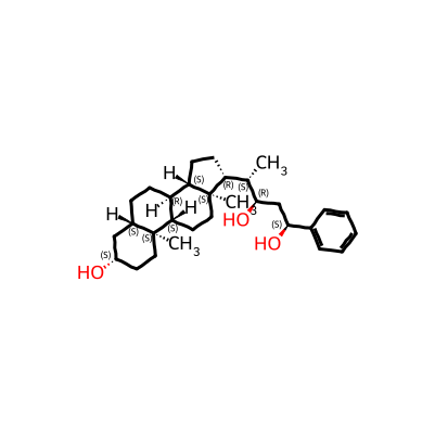 C[C@H]([C@H](O)C[C@H](O)c1ccccc1)[C@H]1CC[C@H]2[C@@H]3CC[C@H]4C[C@@H](O)CC[C@]4(C)[C@H]3CC[C@]12C